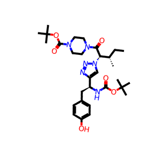 CC[C@H](C)[C@@H](C(=O)N1CCN(C(=O)OC(C)(C)C)CC1)n1cc([C@H](Cc2ccc(O)cc2)NC(=O)OC(C)(C)C)nn1